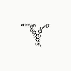 CCCCCCC(CCC)CC(=O)Oc1ccc2c(C(=O)c3ccc(OCCN4CCC(C)C4)cc3)c(-c3ccc(OC(=O)CC)cc3)sc2c1